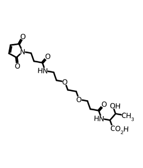 CC(O)C(NC(=O)CCOCCOCCNC(=O)CCN1C(=O)C=CC1=O)C(=O)O